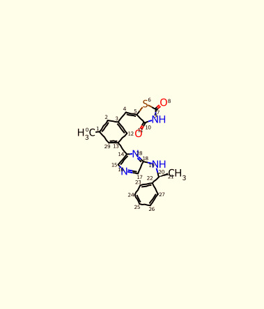 Cc1cc(C=C2SC(=O)NC2=O)cc(-c2cncc(N[C@@H](C)c3ccccc3)n2)c1